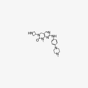 CN1CCN(c2ccc(Nc3ncc4c(n3)N(C)C(=O)N(C3CNC3)C4)cc2)CC1